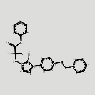 CCn1c(SC(C)(C)C(=O)Nc2ccccc2)nnc1-c1ccc(NCc2ccccc2)cc1